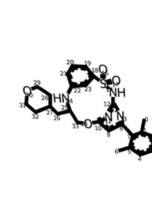 Cc1cccc(C)c1-c1cc2nc(n1)NS(=O)(=O)c1cccc(c1)NC(CC1CCOCC1)CO2